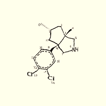 C[C@@H]1C[C@]2(C)CNC[C@]2(c2ccc(Cl)c(Cl)c2)C1